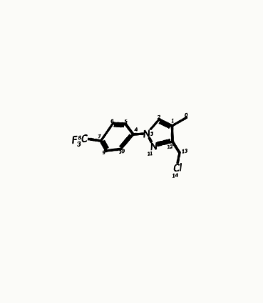 Cc1cn(-c2ccc(C(F)(F)F)cc2)nc1CCl